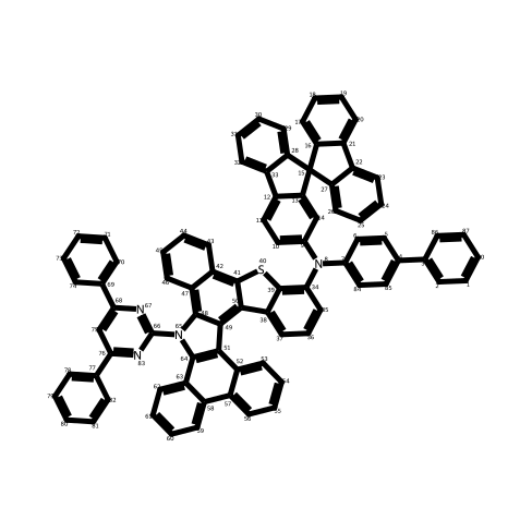 c1ccc(-c2ccc(N(c3ccc4c(c3)C3(c5ccccc5-c5ccccc53)c3ccccc3-4)c3cccc4c3sc3c5ccccc5c5c(c43)c3c4ccccc4c4ccccc4c3n5-c3nc(-c4ccccc4)cc(-c4ccccc4)n3)cc2)cc1